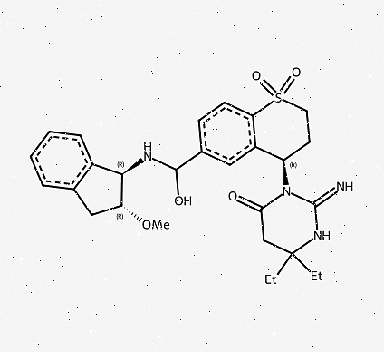 CCC1(CC)CC(=O)N([C@@H]2CCS(=O)(=O)c3ccc(C(O)N[C@@H]4c5ccccc5C[C@H]4OC)cc32)C(=N)N1